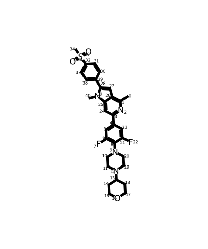 Cc1nc(-c2cc(F)c(N3CCN(C4CCOCC4)CC3)c(F)c2)cc2c1cc(-c1ccc(S(C)(=O)=O)cc1)n2C